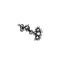 CCOC(=O)C1=CCCN(CCOCCC2c3ccccc3CCc3ccccc32)C1